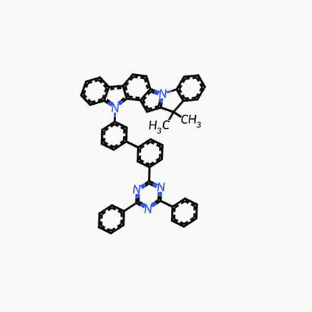 CC1(C)c2ccccc2-n2c1cc1c2ccc2c3ccccc3n(-c3cccc(-c4cccc(-c5nc(-c6ccccc6)nc(-c6ccccc6)n5)c4)c3)c21